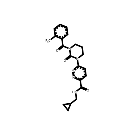 O=C(NCC1CC1)c1ccc(N2CCCN(C(=O)c3ccccc3C(F)(F)F)C2=O)nn1